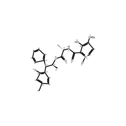 COc1cc[n+]([O-])c(C(=O)N[C@@H](C)C(=O)O[C@@H](C)[C@H](c2ccccc2)c2ccc(C)cc2F)c1O